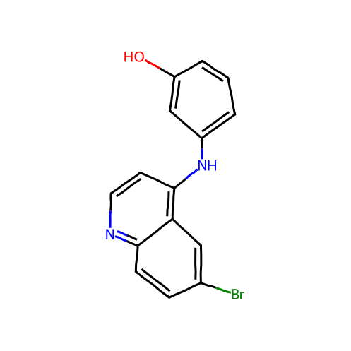 Oc1cccc(Nc2ccnc3ccc(Br)cc23)c1